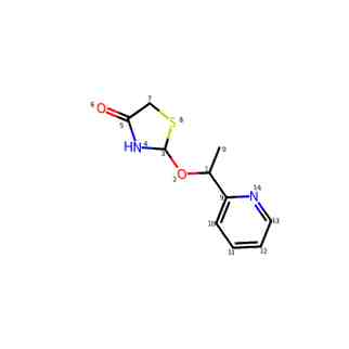 CC(OC1NC(=O)CS1)c1ccccn1